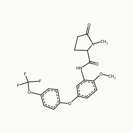 COc1ccc(Oc2ccc(OC(F)(F)F)cc2)cc1NC(=O)C1CCC(=O)N1C